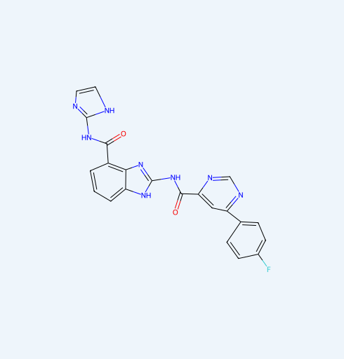 O=C(Nc1nc2c(C(=O)Nc3ncc[nH]3)cccc2[nH]1)c1cc(-c2ccc(F)cc2)ncn1